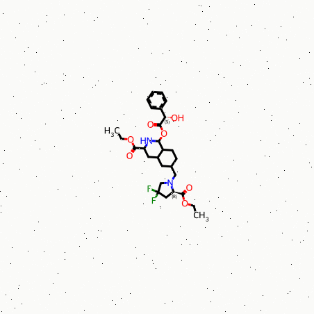 CCOC(=O)C1CC2CC(CN3CC(F)(F)C[C@@H]3C(=O)OCC)CCC2C(OC(=O)[C@@H](O)c2ccccc2)N1